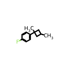 CC1CC(C)(c2ccc(F)cc2)C1